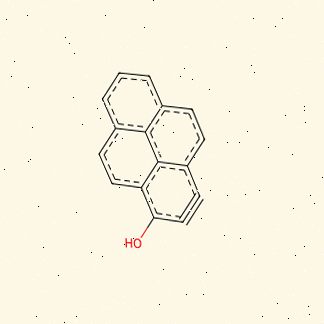 Oc1c#cc2ccc3cccc4ccc1c2c34